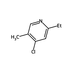 CCc1cc(Cl)c(C)cn1